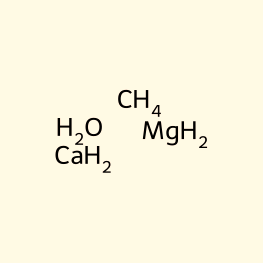 C.O.[CaH2].[MgH2]